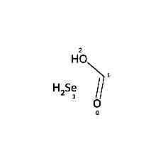 O=CO.[SeH2]